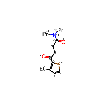 CCc1ccsc1C(=O)CCC(=O)N(C(C)C)C(C)C